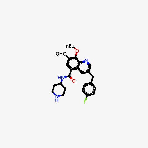 CCCCOc1c(C=O)cc(C(=O)NC2CCNCC2)c2cc(Cc3ccc(F)cc3)cnc12